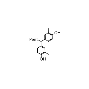 CCCC(C)C(c1ccc(O)c(C)c1)c1ccc(O)c(C)c1